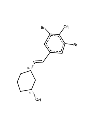 Oc1c(Br)cc(C=N[C@H]2CCC[C@@H](O)C2)cc1Br